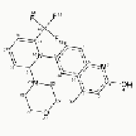 Cc1cc(O)nc2ccc(N3C(C(F)(F)F)=CC=CC3N3CCOCC3)cc12